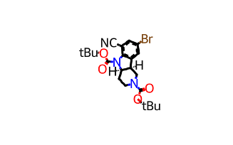 CC(C)(C)OC(=O)N1CC[C@@H]2[C@H](C1)c1cc(Br)cc(C#N)c1N2C(=O)OC(C)(C)C